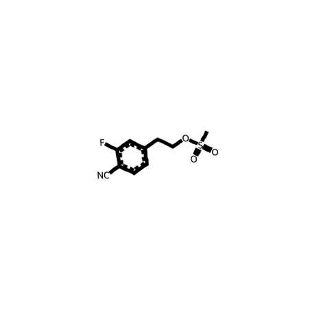 CS(=O)(=O)OCCc1ccc(C#N)c(F)c1